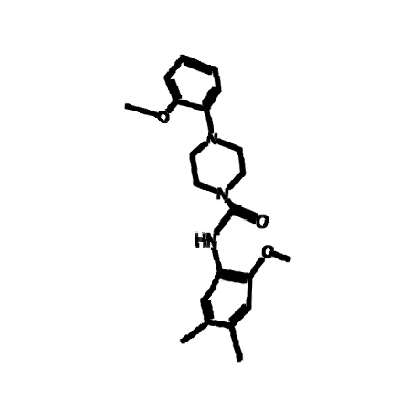 COc1cc(C)c(C)cc1NC(=O)N1CCN(c2ccccc2OC)CC1